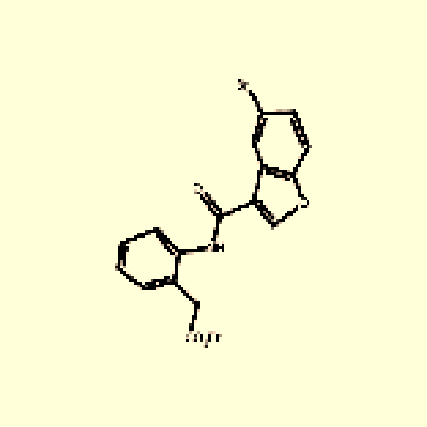 CCOC(=O)Cc1ccccc1NC(=O)c1coc2ccc(Br)cc12